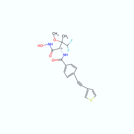 COC(C)(C(F)F)[C@H](NC(=O)c1ccc(C#Cc2ccsc2)cc1)C(=O)NO